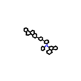 c1ccc(N(c2cccc(-c3ccc(-c4ccc5c(ccc6c7ccccc7ccc56)c4)cc3)c2)c2cc3ccccc3c3ccccc23)cc1